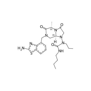 CCCCNC(=O)N(CCC)N1CC(=O)N2[C@@H](C)C(=O)N(Cc3cccc4sc(N)nc34)C[C@@H]21